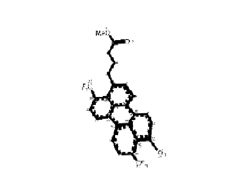 COC(=O)CCCc1ccc2c3ccc(C(F)(F)F)c4c(C(F)(F)F)ccc(c5ccc(C(F)(F)F)c1c25)c43